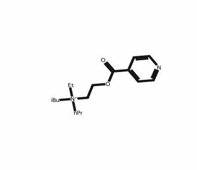 CCC[N+](CC)(CCOC(=O)c1ccncc1)C(C)CC